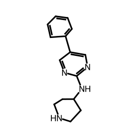 c1ccc(-c2cnc(NC3CCNCC3)nc2)cc1